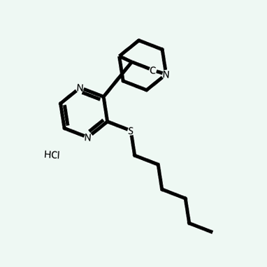 CCCCCCSc1nccnc1C1CN2CCC1CC2.Cl